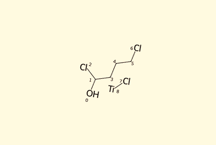 OC(Cl)CCCCl.[Cl][Ti]